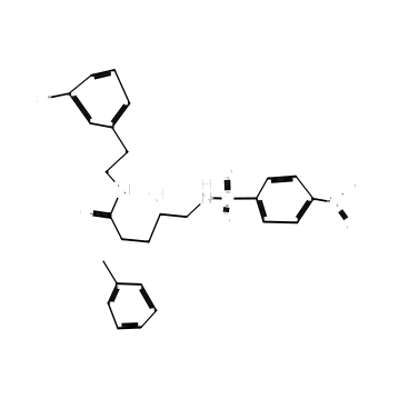 O=C(NCCc1cccc(Cl)c1)[C@@H](Cc1ccccc1)C[C@H](O)CNS(=O)(=O)c1ccc([N+](=O)[O-])cc1